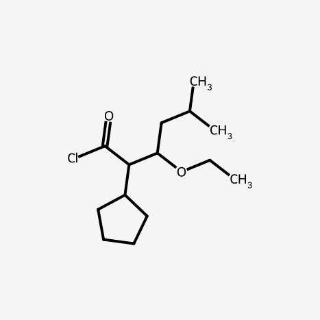 CCOC(CC(C)C)C(C(=O)Cl)C1CCCC1